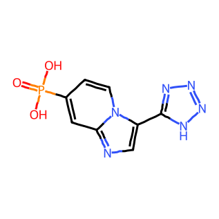 O=P(O)(O)c1ccn2c(-c3nnn[nH]3)cnc2c1